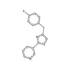 Fc1ccc(Cc2csc(-c3cccnc3)n2)cc1